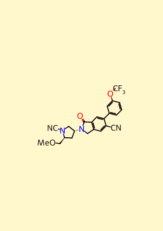 COC[C@@H]1C[C@@H](N2Cc3cc(C#N)c(-c4cccc(OC(F)(F)F)c4)cc3C2=O)CN1C#N